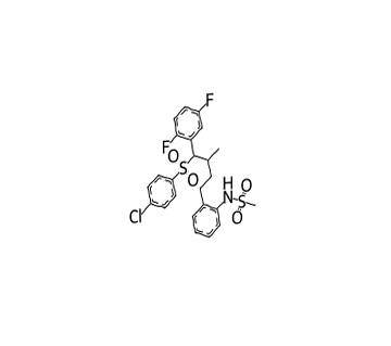 CC(CCc1ccccc1NS(C)(=O)=O)C(c1cc(F)ccc1F)S(=O)(=O)c1ccc(Cl)cc1